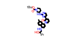 Cc1ccc2c(NC[C@H](O)C(C)C)cccc2c1Oc1ncccc1-c1ccnc(N[C@H]2CCCN(C(=O)OC(C)(C)C)C2)n1